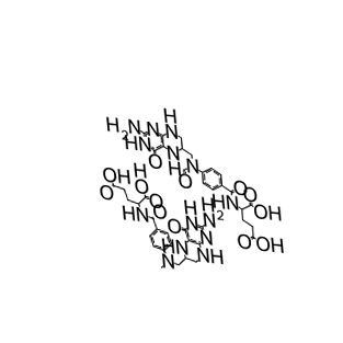 CN(CC1CNc2nc(N)[nH]c(=O)c2N1)c1ccc(C(=O)NC(CCC(=O)O)C(=O)O)cc1.Nc1nc2c(c(=O)[nH]1)NC(CN(C=O)c1ccc(C(=O)NC(CCC(=O)O)C(=O)O)cc1)CN2